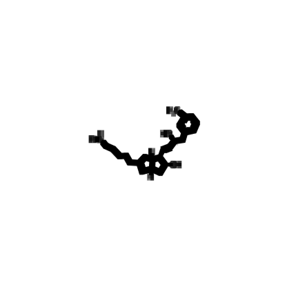 CCNCCCCCC1=C[C@H]2C[C@@H](O)[C@H](/C=C/[C@@H](O)Cc3cccc(C)c3)[C@H]2C1